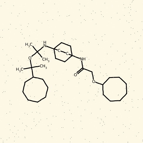 CC(C)(NC12CCC(NC(=O)COC3CCCCCCC3)(CC1)CC2)OC(C)(C)C1CCCCCCC1